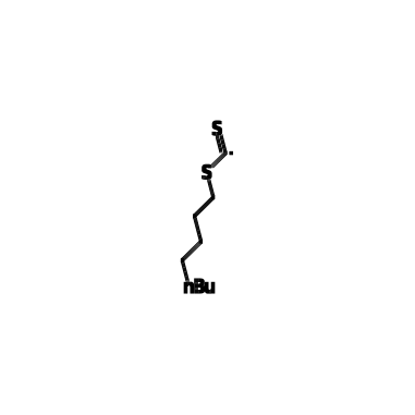 CCCCCCCCS[C]=S